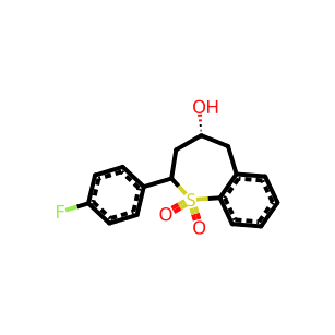 O=S1(=O)c2ccccc2C[C@@H](O)CC1c1ccc(F)cc1